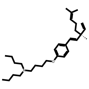 C=C[C@@](C)(/C=C/c1ccc(OCCCCN(CCCC)CCCC)cc1)CCC=C(C)C